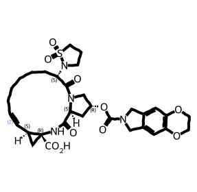 O=C1N[C@]2(C(=O)O)C[C@H]2/C=C\CCCCC[C@H](N2CCCS2(=O)=O)C(=O)N2C[C@H](OC(=O)N3Cc4cc5c(cc4C3)OCCO5)C[C@@H]12